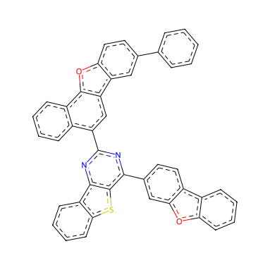 c1ccc(-c2ccc3oc4c5ccccc5c(-c5nc(-c6ccc7c(c6)oc6ccccc67)c6sc7ccccc7c6n5)cc4c3c2)cc1